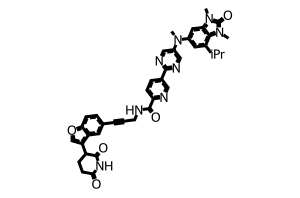 CC(C)c1cc(N(C)c2cnc(-c3ccc(C(=O)NCC#Cc4ccc5occ(C6CCC(=O)NC6=O)c5c4)nc3)nc2)cc2c1n(C)c(=O)n2C